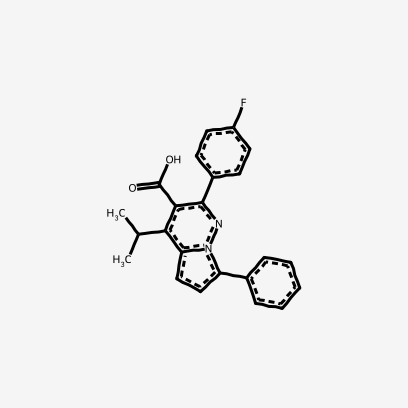 CC(C)c1c(C(=O)O)c(-c2ccc(F)cc2)nn2c(-c3ccccc3)ccc12